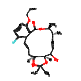 COCOc1ccc(F)c2c1C(=O)O[C@@H](C)[C@H](C)/C=C\C(O)[C@H]1OC(C)(C)O[C@H]1C/C=C/2